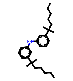 CCCCCC(C)(C)c1cccc(Nc2cccc(C(C)(C)CCCCC)c2)c1